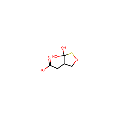 O=C(O)CC1COSC1(O)O